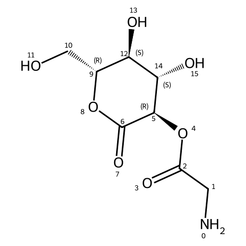 NCC(=O)O[C@H]1C(=O)O[C@H](CO)[C@@H](O)[C@@H]1O